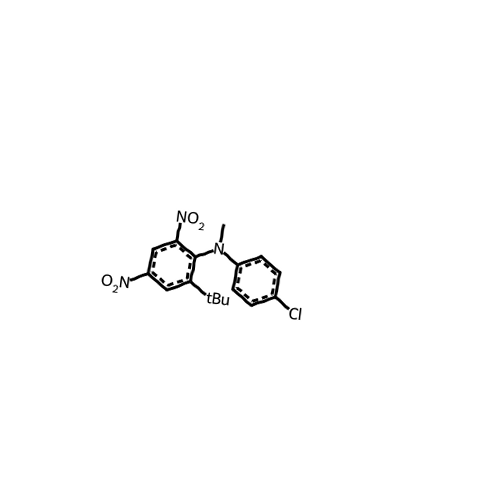 CN(c1ccc(Cl)cc1)c1c([N+](=O)[O-])cc([N+](=O)[O-])cc1C(C)(C)C